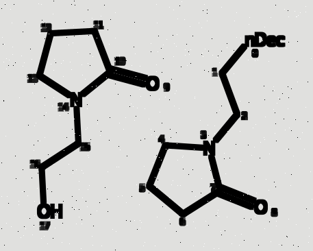 CCCCCCCCCCCCN1CCCC1=O.O=C1CCCN1CCO